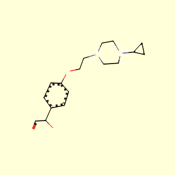 O=CC(Br)c1ccc(OCCN2CCN(C3CC3)CC2)cc1